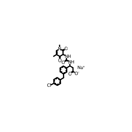 CC1=CN(C)C(=O)C(NC(=O)NC(CC(=O)[O-])c2cccc(Cc3ccc(Cl)cc3)c2)C1=O.[Na+]